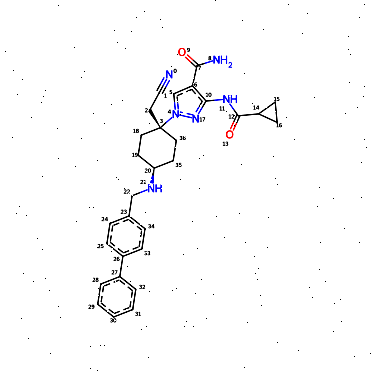 N#CC[C@]1(n2cc(C(N)=O)c(NC(=O)C3CC3)n2)CC[C@H](NCc2ccc(-c3ccccc3)cc2)CC1